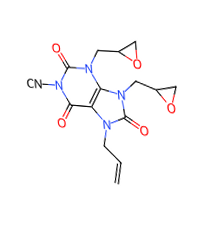 [C-]#[N+]n1c(=O)c2c(n(CC3CO3)c1=O)n(CC1CO1)c(=O)n2CC=C